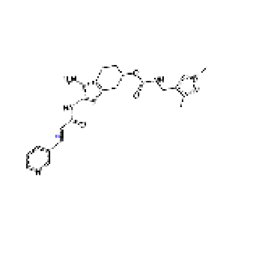 Cc1nn(C)cc1CNC(=O)OC1CCc2c(sc(NC(=O)/C=C/c3cccnc3)c2N)C1